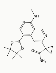 CNc1ncc(B2OC(C)(C)C(C)(C)O2)c2cc(C3(C(N)=O)CC3)ncc12